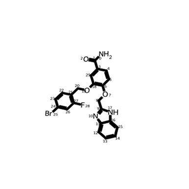 NC(=O)c1ccc(OCc2nc3ccccc3[nH]2)c(OCc2ccc(Br)cc2F)c1